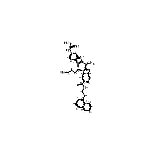 CC(c1nc2cc(NC(=N)N)ccc2[nH]1)c1nc2ccc(C(=O)NCCc3cccc4ccccc34)cc2n1CCCCO